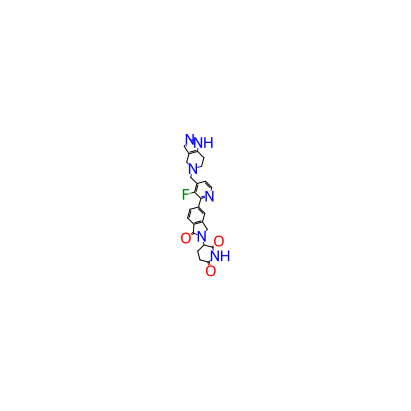 O=C1CCC(N2Cc3cc(-c4nccc(CN5CCc6[nH]ncc6C5)c4F)ccc3C2=O)C(=O)N1